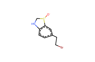 [O-][S+]1CNc2ccc(CCBr)cc21